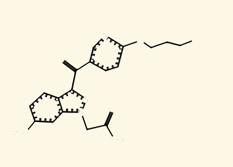 COc1ccc2c(C(=O)c3ccc(OCCCO)nc3)nn(CC(=O)C(C)(C)C)c2c1